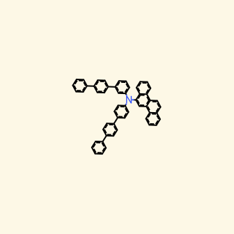 c1ccc(-c2ccc(-c3ccc(N(c4cccc(-c5ccc(-c6ccccc6)cc5)c4)c4cc5c6ccccc6ccc5c5ccccc45)cc3)cc2)cc1